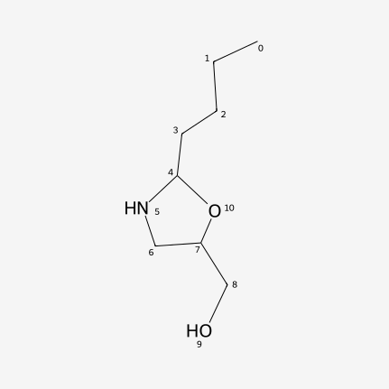 CCCCC1NCC(CO)O1